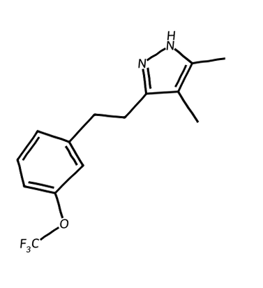 Cc1[nH]nc(CCc2cccc(OC(F)(F)F)c2)c1C